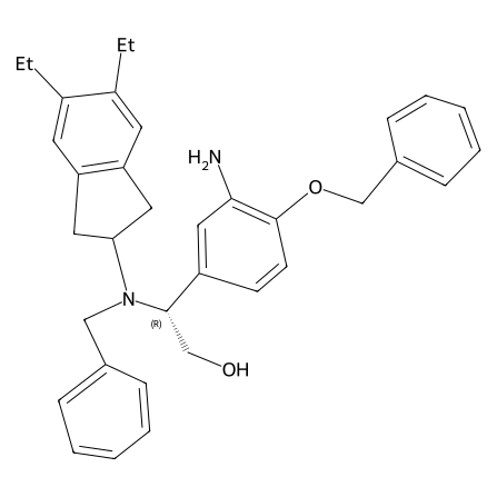 CCc1cc2c(cc1CC)CC(N(Cc1ccccc1)[C@@H](CO)c1ccc(OCc3ccccc3)c(N)c1)C2